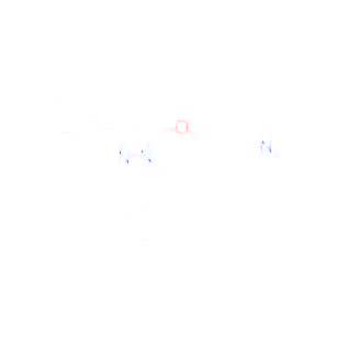 CN(C)CCCOc1cc(-c2ccccc2)nn1Cc1ccccc1